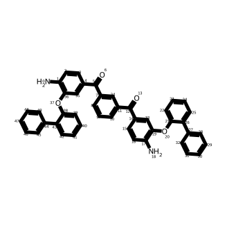 Nc1ccc(C(=O)c2cccc(C(=O)c3ccc(N)c(Oc4ccccc4-c4ccccc4)c3)c2)cc1Oc1ccccc1-c1ccccc1